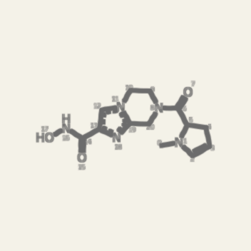 CN1C=CCC1C(=O)N1CCn2cc(C(=O)NO)nc2C1